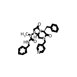 CN(C(=O)NCc1ccccc1)N1CC(=O)N2[C@@H](Cc3ccccc3)C(=O)N(Cc3ccncc3)C[C@@H]21